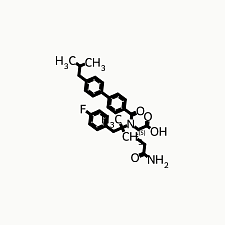 CC(C)Cc1ccc(-c2ccc(C(=O)N([C@@H](CCC(N)=O)C(=O)O)C(C)(C)Cc3ccc(F)cc3)cc2)cc1